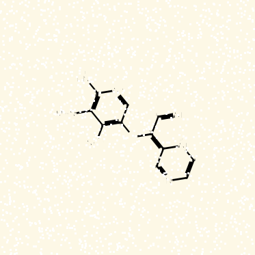 CNc1c(N)ncc(O/C(C=N)=C2\C=NC=CN2)c1C#N